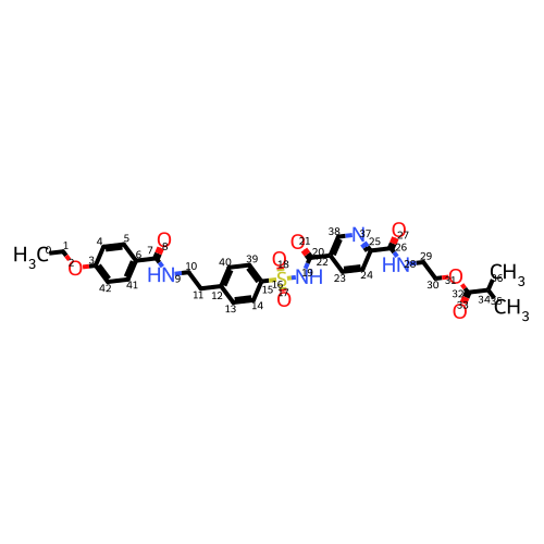 CCOc1ccc(C(=O)NCCc2ccc(S(=O)(=O)NC(=O)c3ccc(C(=O)NCCOC(=O)C(C)C)nc3)cc2)cc1